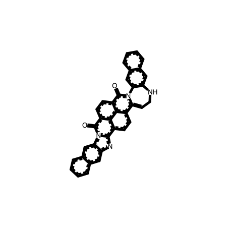 O=c1c2ccc3c(=O)n4c5cc6ccccc6cc5nc4c4ccc(c5n1-c1cc6ccccc6cc1NCC=5)c2c34